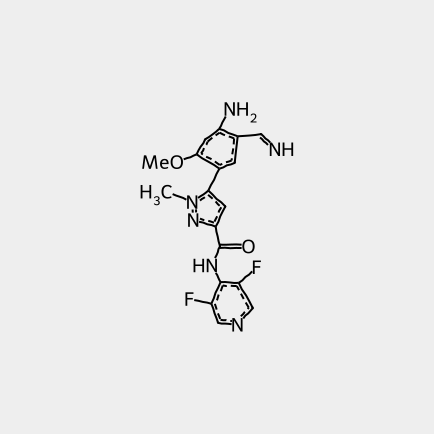 COc1cc(N)c(C=N)cc1-c1cc(C(=O)Nc2c(F)cncc2F)nn1C